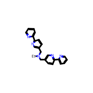 CCN(Cc1ccc(-c2ccccn2)nc1)Cc1ccc(-c2ccccn2)nc1